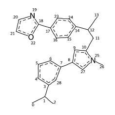 CC(C)c1cccc(-c2cc(CC(C)c3ccc(-c4ncco4)cc3)n(C)c2)c1